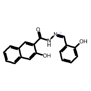 O=C(N/N=C\c1ccccc1O)c1cc2ccccc2cc1O